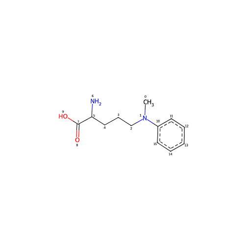 CN(CCCC(N)C(=O)O)c1ccccc1